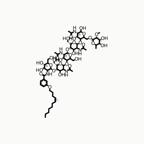 CCCCCC/C=C\CCCOc1cccc(C(=O)N[C@@H]2C(O[C@H]3C(O)C(NC(C)=O)C(OC4C(CO)O[C@@H](O[C@H]5C(O)C(NC(C)=O)C(OC6C(CO[C@@H]7OC(C)C(O)[C@H](O)[C@H]7OC)OC(O)[C@@H](NC(C)=O)[C@H]6O)O[C@H]5CO)[C@@H](NC(C)=O)[C@H]4O)O[C@H]3CO)OC(CO)[C@@H](O)[C@@H]2O)c1